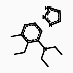 CCc1c(C)cccc1N(CC)CC.c1c[nH]nn1